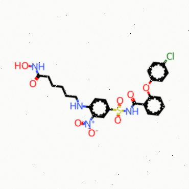 O=C(CCCCCNc1ccc(S(=O)(=O)NC(=O)c2ccccc2Oc2ccc(Cl)cc2)cc1[N+](=O)[O-])NO